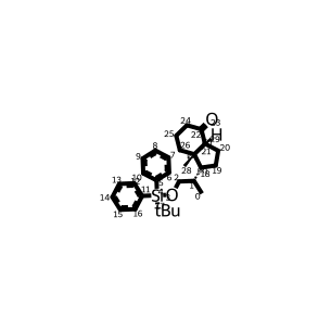 CC(CO[Si](c1ccccc1)(c1ccccc1)C(C)(C)C)[C@H]1CC[C@H]2C(=O)CCC[C@@]12C